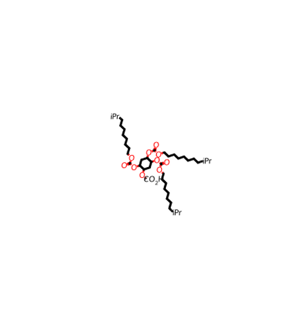 CC(C)CCCCCCCCOC(=O)OC1CC(OC(=O)OCCCCCCCCC(C)C)C(OC(=O)OCCCCCCCCC(C)C)CC1OC(=O)O